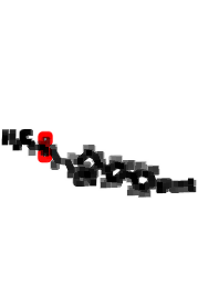 C=CC(=O)OCCCCC1(C#N)CCCC(c2ccc(-c3ccc(C(C)CCC)cc3)cc2)C1